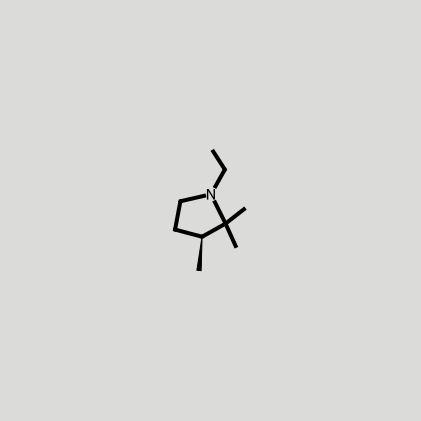 CCN1CC[C@H](C)C1(C)C